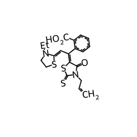 C=CCN1C(=O)C(=C(C=C2SCCN2CC)c2ccccc2C(=O)O)SC1=S